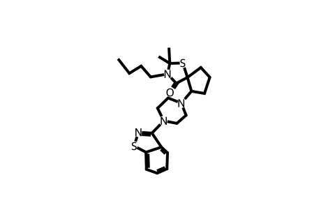 CCCCN1C(=O)C2(CCCC2N2CCN(c3nsc4ccccc34)CC2)SC1(C)C